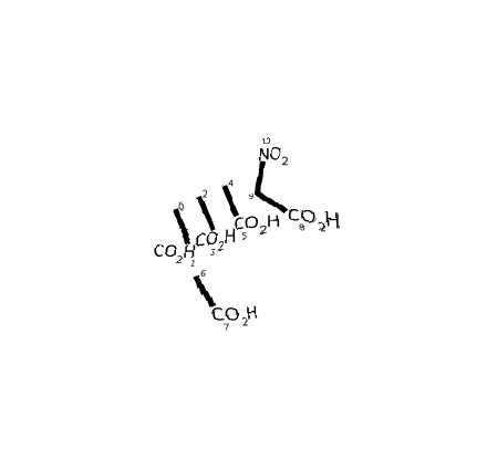 CC(=O)O.CC(=O)O.CC(=O)O.CC(=O)O.O=C(O)C[N+](=O)[O-]